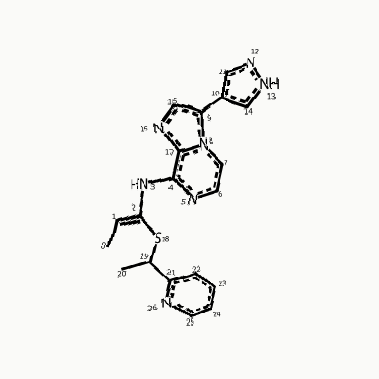 C/C=C(/Nc1nccn2c(-c3cn[nH]c3)cnc12)SC(C)c1ccccn1